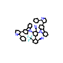 N#Cc1cccc(C(F)(F)F)c1-c1cc(-n2c3ccccc3c3cc(-c4cccnc4-c4ccccc4)ccc32)c(C#N)c(-n2c3ccccc3c3cc(-c4cccnc4-c4ccccc4)ccc32)c1